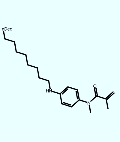 C=C(C)C(=O)N(C)c1ccc(NCCCCCCCCCCCCCCCCCC)cc1